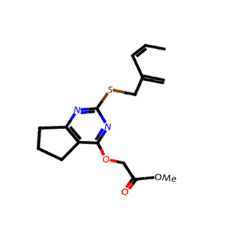 C=C(/C=C\C)CSc1nc2c(c(OCC(=O)OC)n1)CCC2